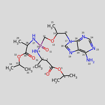 CC(CC(=O)OC(C)C)NP(=O)(COC(C)Cn1cnc2c(N)ncnc21)NC(C)C(=O)OC(C)C